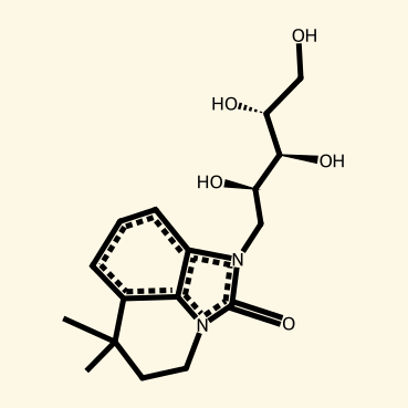 CC1(C)CCn2c(=O)n(C[C@@H](O)[C@H](O)[C@H](O)CO)c3cccc1c32